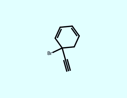 C#CC1(Br)C=CC=CC1